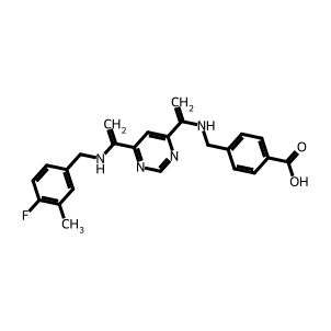 C=C(NCc1ccc(C(=O)O)cc1)c1cc(C(=C)NCc2ccc(F)c(C)c2)ncn1